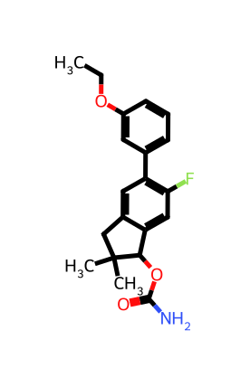 CCOc1cccc(-c2cc3c(cc2F)C(OC(N)=O)C(C)(C)C3)c1